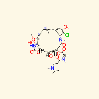 COc1cc2cc(c1Cl)N(C)C(=O)C[C@H](OC(=O)[C@H](C)N(C)C(=O)CCN(C)C(C)C)[C@@H]1O[C@H]1C[C@@H]1C[C@@](O)(NC(=O)O1)[C@H](OC)/C=C/C=C(\C)C2